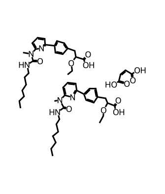 CCCCCCCNC(=O)N(C)c1cccc(-c2ccc(CC(OCC)C(=O)O)cc2)n1.CCCCCCCNC(=O)N(C)c1cccc(-c2ccc(CC(OCC)C(=O)O)cc2)n1.O=C(O)/C=C\C(=O)O